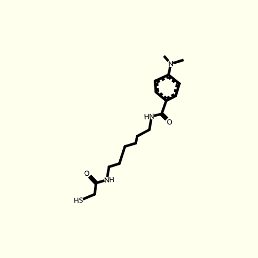 CN(C)c1ccc(C(=O)NCCCCCCNC(=O)CS)cc1